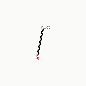 CCCCCCCCCCCCCCCCCCCP=O